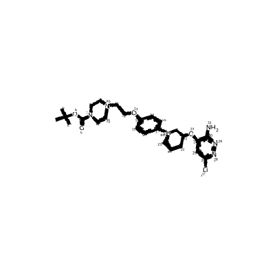 CC(C)(C)OC(=O)N1CCN(CCOc2ccc(N3CCCC(Oc4cc(Cl)nnc4N)C3)cc2)CC1